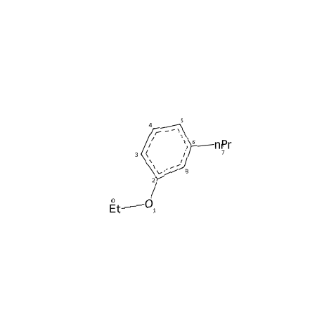 [CH2]COc1cccc(CCC)c1